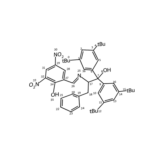 CC(C)(C)c1cc(C(C)(C)C)cc(C(O)(c2cc(C(C)(C)C)cc(C(C)(C)C)c2)C(Cc2ccccc2)N=Cc2cc([N+](=O)[O-])cc([N+](=O)[O-])c2O)c1